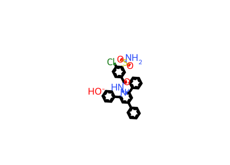 NS(=O)(=O)c1cc(C(=O)N[n+]2c(-c3ccccc3)cc(-c3ccccc3)cc2-c2ccccc2)ccc1Cl.[OH-]